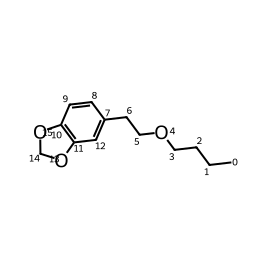 CCCCOCCc1ccc2c(c1)OCO2